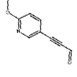 COc1ccc(C#CC=O)cn1